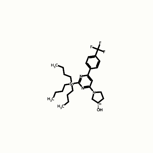 CCC[CH2][Sn]([CH2]CCC)([CH2]CCC)[c]1nc(-c2ccc(C(F)(F)F)cc2)cc(N2CC[C@H](O)C2)n1